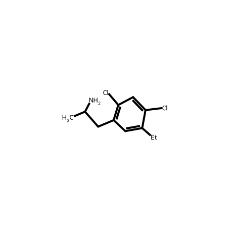 CCc1cc(CC(C)N)c(Cl)cc1Cl